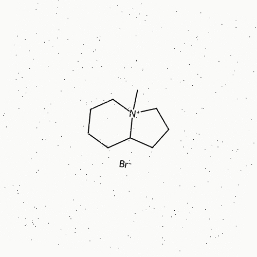 C[N+]12CCCCC1CCC2.[Br-]